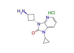 Cl.N[C@H]1C[C@H](n2c(=O)n(C3CC3)c3cccnc32)C1